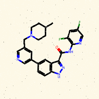 CC1CCN(Cc2cncc(-c3ccc4[nH]nc(C(=O)Nc5ncc(F)cc5F)c4c3)c2)CC1